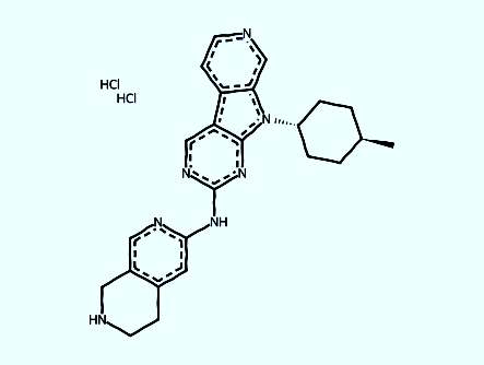 C[C@H]1CC[C@H](n2c3cnccc3c3cnc(Nc4cc5c(cn4)CNCC5)nc32)CC1.Cl.Cl